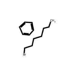 CCCCCCCBr.c1ccccc1